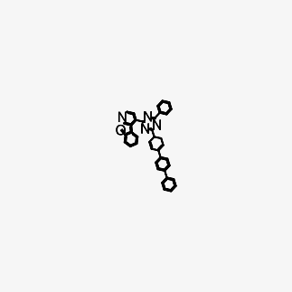 C1=CC(c2nc(-c3ccccc3)nc(-c3ccnc4oc5ccccc5c34)n2)CC=C1c1ccc(-c2ccccc2)cc1